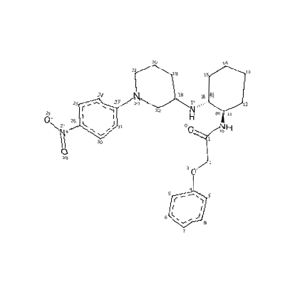 O=C(COc1ccccc1)N[C@@H]1CCCC[C@H]1NC1CCCN(c2ccc([N+](=O)[O-])cc2)C1